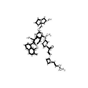 COCCN1CC[C@@H]1/C=C/C(=O)N1CC[C@@H](N(C)c2nc(OC[C@@]34CCCN3C[C@H](F)C4)nc3c(F)c(-c4cccc5ccc(F)c(Cl)c45)ncc23)C1